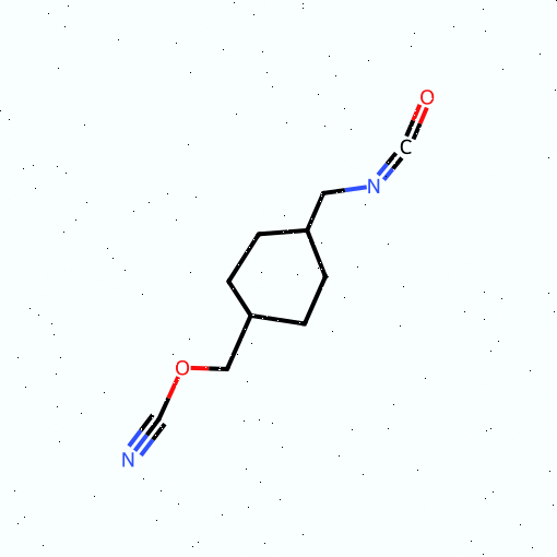 N#COCC1CCC(CN=C=O)CC1